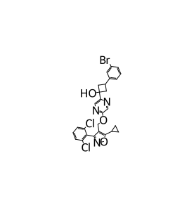 OC1(c2cnc(OCc3c(-c4c(Cl)cccc4Cl)noc3C3CC3)cn2)CC(c2cccc(Br)c2)C1